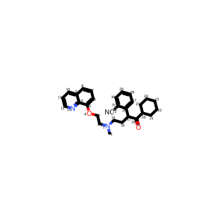 CN(CCOc1cccc2cccnc12)CCC(C(=O)C1CCCCC1)c1ccccc1C#N